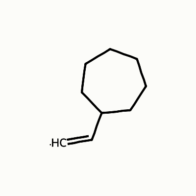 [CH]=CC1CCCCCC1